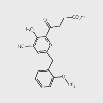 CCOC(=O)CCC(=O)c1nc(Cc2ccccc2OC(F)(F)F)cc(C#N)c1O